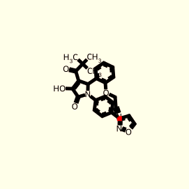 CC(C)(C)C(=O)C1=C(O)C(=O)N(c2ccc(-c3ccon3)cc2)C1c1ccccc1OCC#N